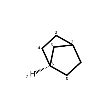 [CH]1CC2CC[C@H]1C2